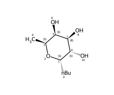 CCCC[C@@H]1O[C@@H](C)[C@@H](O)[C@@H](O)[C@@H]1O